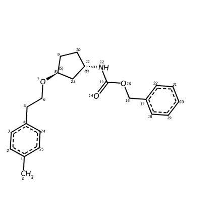 Cc1ccc(CCO[C@H]2CC[C@H](NC(=O)OCc3ccccc3)C2)cc1